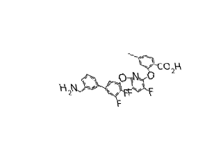 Cc1ccc(C(=O)O)c(Oc2nc(Oc3cc(-c4cccc(CN)c4)cc(F)c3F)c(F)cc2F)c1